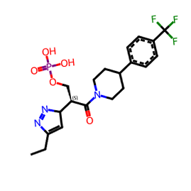 CCC1=CC([C@@H](COP(=O)(O)O)C(=O)N2CCC(c3ccc(C(F)(F)F)cc3)CC2)N=N1